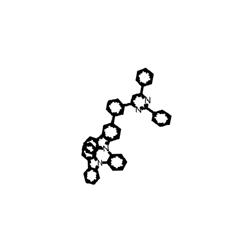 c1ccc(-c2cc(-c3cccc(-c4ccc5c(c4)c4ccccc4n5-c4ccccc4-n4c5ccccc5c5ccccc54)c3)nc(-c3ccccc3)n2)cc1